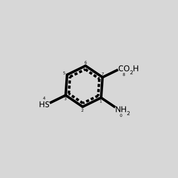 Nc1cc(S)ccc1C(=O)O